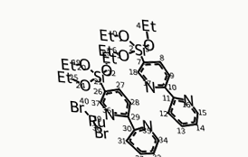 CCO[Si](OCC)(OCC)c1ccc(-c2ccccn2)nc1.CCO[Si](OCC)(OCC)c1ccc(-c2ccccn2)nc1.[Br][Ru][Br]